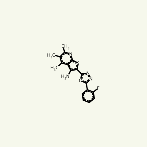 Cc1nc2sc(-c3nnc(-c4ccccc4F)o3)c(N)c2c(C)c1C